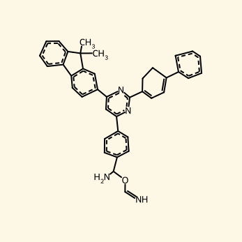 CC1(C)c2ccccc2-c2ccc(-c3cc(-c4ccc(C(N)OC=N)cc4)nc(C4=CC=C(c5ccccc5)CC4)n3)cc21